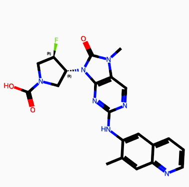 Cc1cc2ncccc2cc1Nc1ncc2c(n1)n([C@@H]1CN(C(=O)O)C[C@H]1F)c(=O)n2C